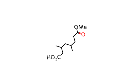 COC(=O)CCC(C)CC(C)CC(=O)O